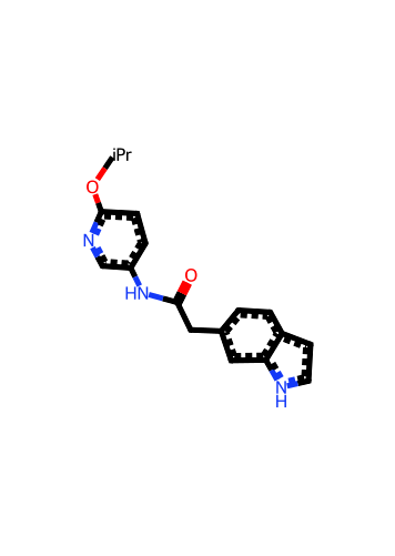 CC(C)Oc1ccc(NC(=O)Cc2ccc3cc[nH]c3c2)cn1